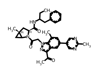 CCC(Cc1ccccc1)NC(=O)[C@@H]1C[C@@]2(C)CC2N1C(=O)Cn1nc(C(C)=O)c2cc(-c3cnc(C)nc3)cc(C)c21